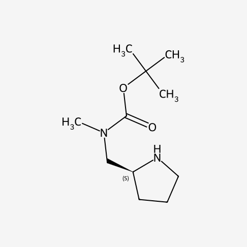 CN(C[C@@H]1CCCN1)C(=O)OC(C)(C)C